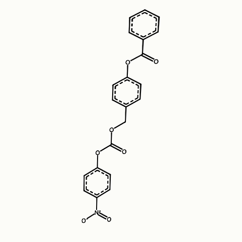 O=C(OCc1ccc(OC(=O)c2ccccc2)cc1)Oc1ccc([N+](=O)[O-])cc1